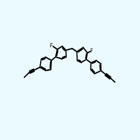 CC#Cc1ccc(-c2ccc(Cc3ccc(-c4ccc(C#CC)cc4)c(F)c3)cc2F)cc1